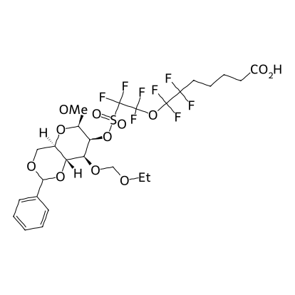 CCOCO[C@@H]1[C@H](OS(=O)(=O)C(F)(F)C(F)(F)OC(F)(F)C(F)(F)CCCCC(=O)O)[C@H](OC)O[C@@H]2COC(c3ccccc3)O[C@@H]12